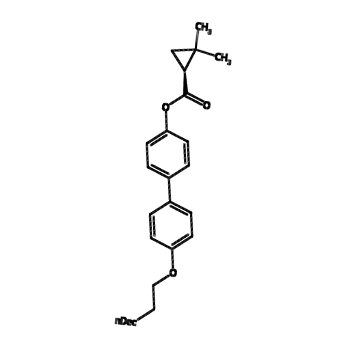 CCCCCCCCCCCCOc1ccc(-c2ccc(OC(=O)[C@H]3CC3(C)C)cc2)cc1